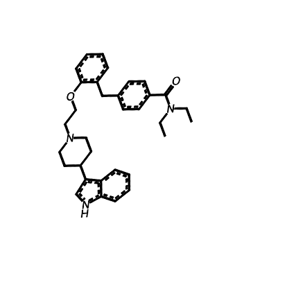 CCN(CC)C(=O)c1ccc(Cc2ccccc2OCCN2CCC(c3c[nH]c4ccccc34)CC2)cc1